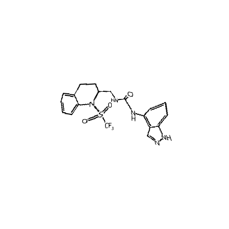 O=C(NCC1CCc2ccccc2N1S(=O)(=O)C(F)(F)F)Nc1cccc2[nH]ncc12